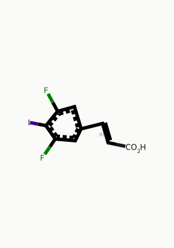 O=C(O)/C=C/c1cc(F)c(I)c(F)c1